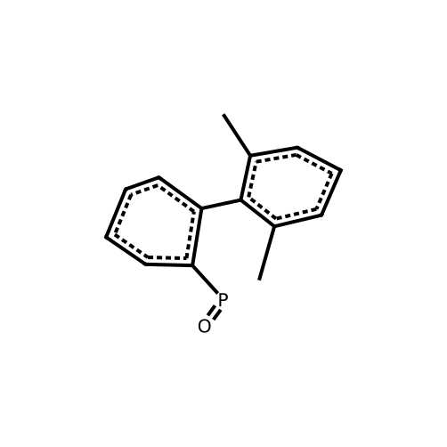 Cc1cccc(C)c1-c1ccccc1P=O